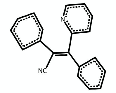 N#C/C(=C(\c1ccccc1)c1ccccn1)c1ccccc1